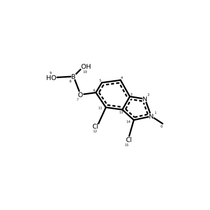 Cn1nc2ccc(OB(O)O)c(Cl)c2c1Cl